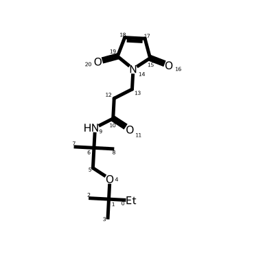 CCC(C)(C)OCC(C)(C)NC(=O)CCN1C(=O)C=CC1=O